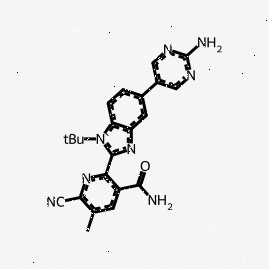 Cc1cc(C(N)=O)c(-c2nc3cc(-c4cnc(N)nc4)ccc3n2C(C)(C)C)nc1C#N